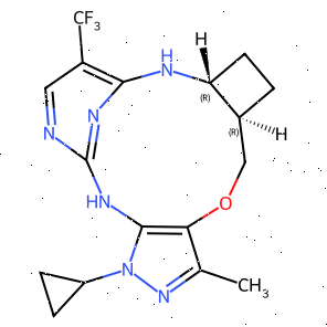 Cc1nn(C2CC2)c2c1OC[C@@H]1CC[C@H]1Nc1nc(ncc1C(F)(F)F)N2